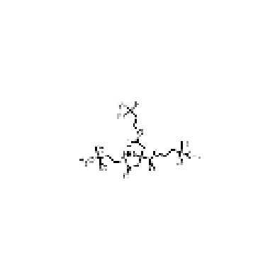 CCC(C)(CC)CCOC(=O)CC(O)(CC(=O)OCCC(C)(CC)CC)C(=O)OCCC(C)(CC)CC